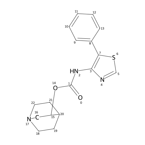 O=C(Nc1ncsc1-c1ccccc1)OC1CN2CCC1CC2